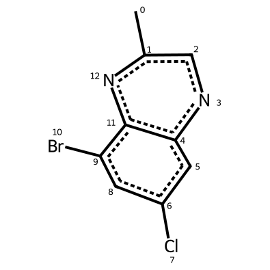 Cc1cnc2cc(Cl)cc(Br)c2n1